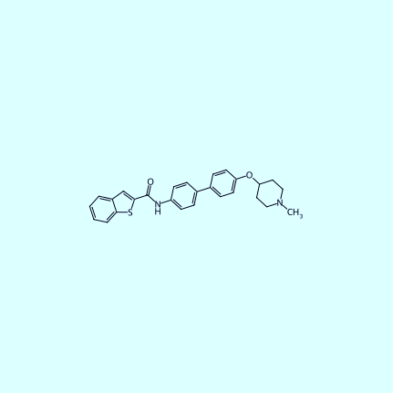 CN1CCC(Oc2ccc(-c3ccc(NC(=O)c4cc5ccccc5s4)cc3)cc2)CC1